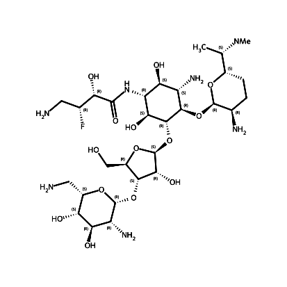 CN[C@@H](C)[C@@H]1CC[C@@H](N)[C@@H](O[C@@H]2[C@@H](N)[C@H](O)[C@@H](NC(=O)[C@@H](O)[C@H](F)CN)[C@H](O)[C@H]2O[C@@H]2O[C@H](CO)[C@@H](O[C@H]3O[C@@H](CN)[C@@H](O)[C@H](O)[C@H]3N)[C@H]2O)O1